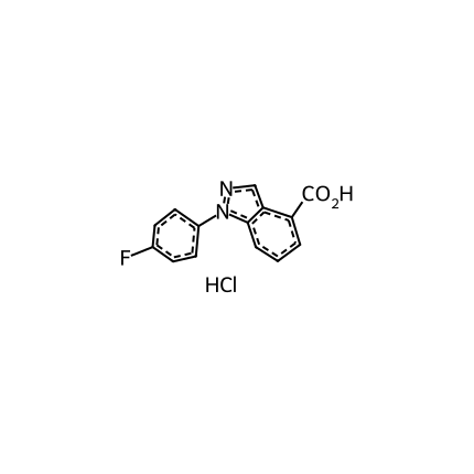 Cl.O=C(O)c1cccc2c1cnn2-c1ccc(F)cc1